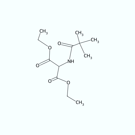 CCOC(=O)C(NC(=O)C(C)(C)C)C(=O)OCC